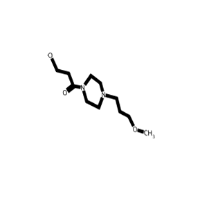 COCCCN1CCN(C(=O)CC[O])CC1